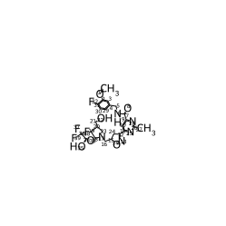 COc1cc(CNC(=O)c2cc(C3=NOC(CN4CCC(CO)C4)C3)nc(C)n2)ccc1F.O=C(O)C(F)(F)F